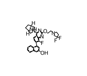 Oc1cc(-c2ccc3c(N4C[C@H]5CC[C@@H](C4)N5)nc(OCCN4CCC(F)(F)C4)nc3c2F)c2ccccc2c1